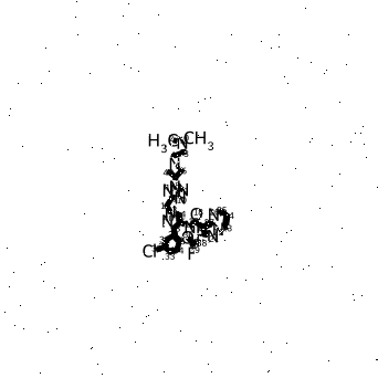 CN(C)CCN1CC(n2nnc(Cn3cc(NC(=O)c4cnn5cccnc45)c(-c4cc(Cl)ccc4OC(F)F)n3)n2)C1